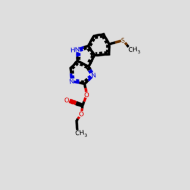 CCOC(=O)Oc1ncc2[nH]c3ccc(SC)cc3c2n1